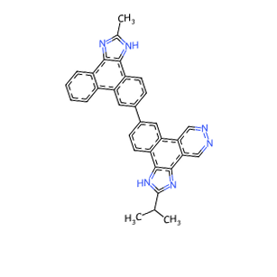 Cc1nc2c3ccccc3c3cc(-c4ccc5c(c4)c4cnncc4c4nc(C(C)C)[nH]c54)ccc3c2[nH]1